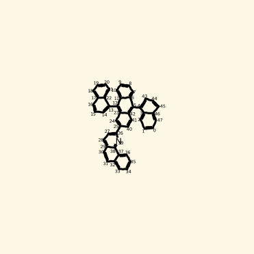 c1ccc2c(-c3c4ccccc4c(-c4cccc5ccccc45)c4cc(-c5ccc6ccc7ccccc7c6n5)ccc34)cccc2c1